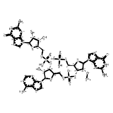 CO[C@H]1C(n2cnc3c(=O)[nH]c(N)nc32)O[C@H](COP(=O)(O)O)[C@H]1OP(=O)(O)OCC1OC(n2cnc3c(N)ncnc32)[C@H](O)[C@@H]1OP(=O)(O)OC[C@H]1OC(n2cnc3c(=O)[nH]c(N)nc32)[C@H](O)[C@@H]1O